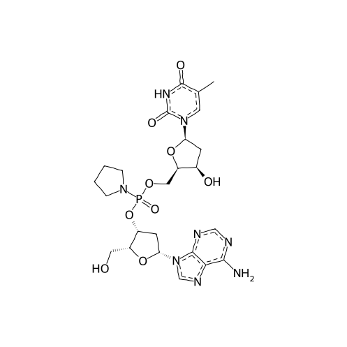 Cc1cn([C@H]2C[C@@H](O)[C@@H](COP(=O)(O[C@@H]3C[C@H](n4cnc5c(N)ncnc54)O[C@@H]3CO)N3CCCC3)O2)c(=O)[nH]c1=O